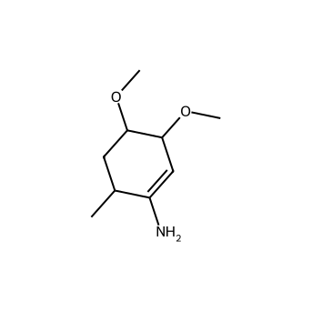 COC1C=C(N)C(C)CC1OC